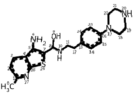 Cc1ccc2c(N)c(C(O)NCCc3ccc(N4CCNCC4)cc3)sc2n1